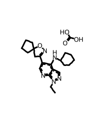 CCn1ncc2c(NC3CCCCC3)c(C3=NOC4(CCCC4)C3)cnc21.O=C(O)O